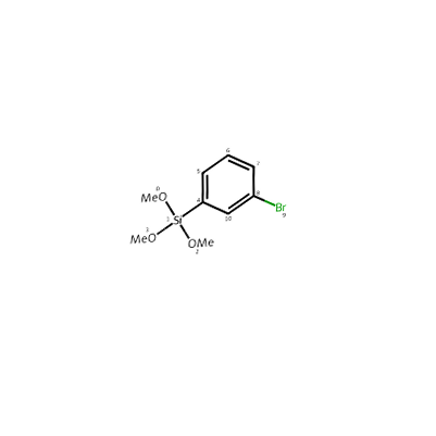 CO[Si](OC)(OC)c1cccc(Br)c1